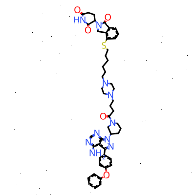 Nc1ncnc2c1c(-c1ccc(Oc3ccccc3)cc1)nn2C1CCCN(C(=O)CCCN2CCN(CCCCCCSc3cccc4c3CN(C3CCC(=O)NC3=O)C4=O)CC2)C1